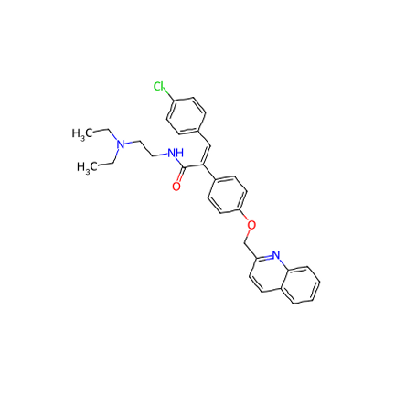 CCN(CC)CCNC(=O)C(=Cc1ccc(Cl)cc1)c1ccc(OCc2ccc3ccccc3n2)cc1